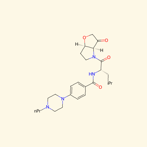 CCCN1CCN(c2ccc(C(=O)N[C@@H](CC(C)C)C(=O)N3CC[C@H]4OCC(=O)[C@H]43)cc2)CC1